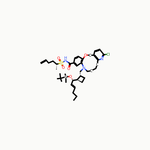 C=CCC[C@@H](C)S(=O)(=O)NC(=O)c1ccc2c(c1)N(C[C@@H]1CC[C@H]1[C@H](/C=C/CCC)O[Si](C)(C)C(C)(C)C)CCCCc1nc(Cl)ccc1CO2